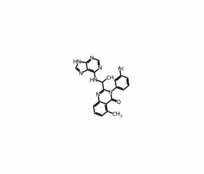 CC(=O)c1cccc(-n2c(C(C)Nc3ncnc4[nH]cnc34)nc3cccc(C)c3c2=O)c1